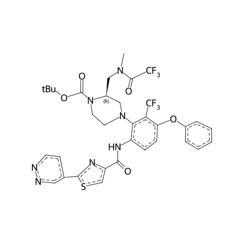 CN(C[C@H]1CN(c2c(NC(=O)c3csc(-c4ccnnc4)n3)ccc(Oc3ccccc3)c2C(F)(F)F)CCN1C(=O)OC(C)(C)C)C(=O)C(F)(F)F